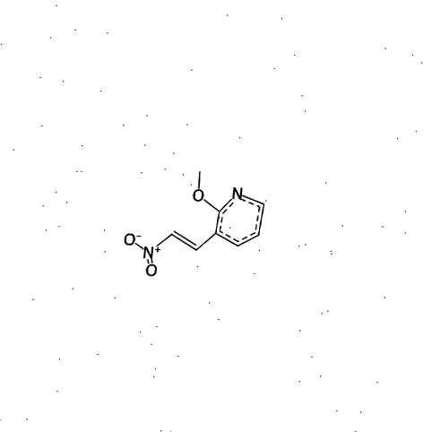 COc1ncccc1C=C[N+](=O)[O-]